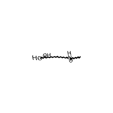 CCCCCCCC(=O)NCCCCCCCCCCCCCCCC(O)CCO